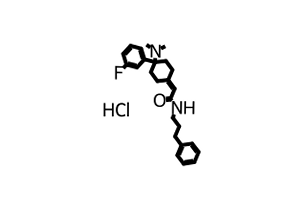 CN(C)C1(c2cccc(F)c2)CCC(=CC(=O)NCCCc2ccccc2)CC1.Cl